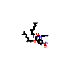 CCCCn1c(=O)c(OCC=C(C)CCC=C(C)C)c(OCC=C(C)CCC=C(C)C)c2ccc([N+](=O)[O-])cc21